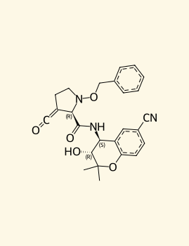 CC1(C)Oc2ccc(C#N)cc2[C@H](NC(=O)[C@H]2C(=C=O)CCN2OCc2ccccc2)[C@H]1O